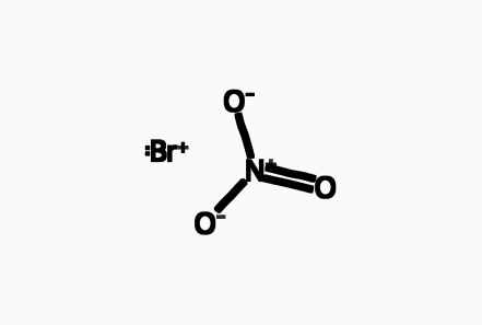 O=[N+]([O-])[O-].[Br+]